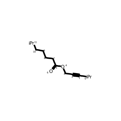 CC(C)C#CCOC(=O)CCCCC(C)C